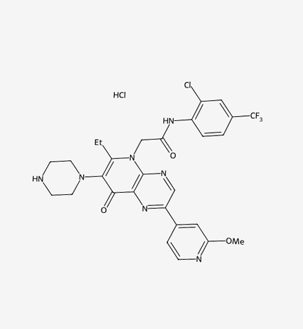 CCc1c(N2CCNCC2)c(=O)c2nc(-c3ccnc(OC)c3)cnc2n1CC(=O)Nc1ccc(C(F)(F)F)cc1Cl.Cl